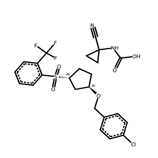 N#CC1(NC(=O)O)CC1.O=S(=O)(c1ccccc1C(F)(F)F)[C@@H]1CC[C@@H](OCc2ccc(Cl)cc2)C1